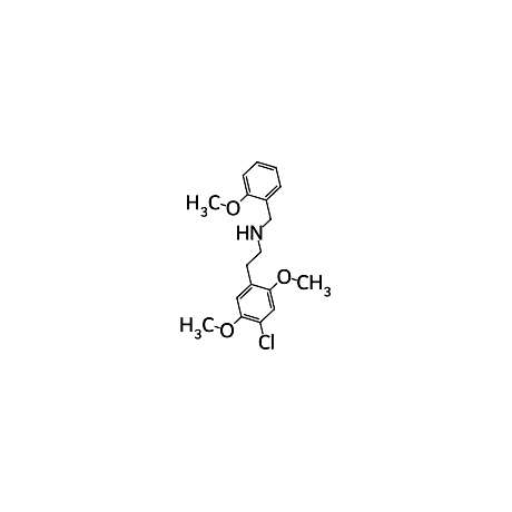 COc1cc(CCNCc2ccccc2OC)c(OC)cc1Cl